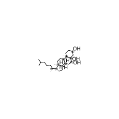 CC(C)CCC[C@@H](C)[C@H]1CC[C@H]2[C@@H]3C[C@@H](O)[C@@]4(O)C[C@@H](O)CC[C@]4(C)[C@H]3CC[C@]12C